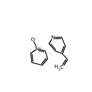 C=Cc1ccncc1.[O-][n+]1ccccc1